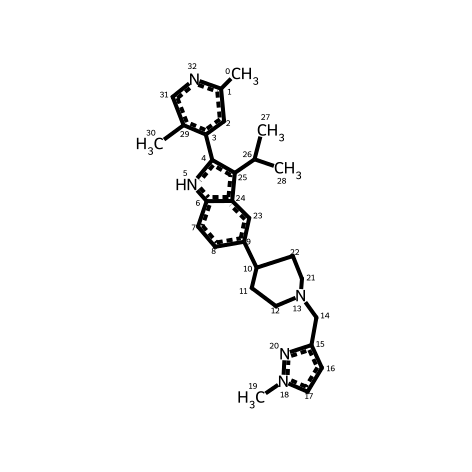 Cc1cc(-c2[nH]c3ccc(C4CCN(Cc5ccn(C)n5)CC4)cc3c2C(C)C)c(C)cn1